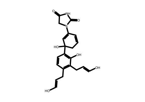 O=C1CN(C2=CC(O)(c3ccc(CC=CO)c(CC=CO)c3O)CC=C2)C(=O)N1